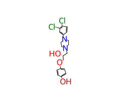 Oc1ccc(OC[C@H](O)CN2CCN(c3ccc(Cl)c(Cl)c3)CC2)cc1